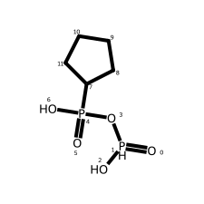 O=[PH](O)OP(=O)(O)C1CCCC1